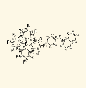 Fc1c(F)c(F)c([B-](c2c(F)c(F)c(F)c(F)c2F)(c2c(F)c(F)c(F)c(F)c2F)c2c(F)c(F)c(F)c(F)c2F)c(F)c1F.c1ccc(C[n+]2cccc3ccccc32)cc1